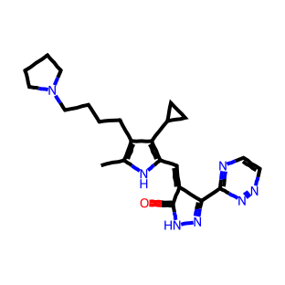 Cc1[nH]c(C=C2C(=O)NN=C2c2nccnn2)c(C2CC2)c1CCCCN1CCCC1